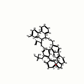 C=CC1C[n+]2cc(CC(C)(C)C)c(-c3c(C)cccc3C)cc2-c2c(ccc3c2oc2c4ccsc4ccc32)CCC2c3ccccc3-c3ccc(C)c[n+]3C12